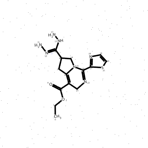 CCOC(=O)C1=C2CC(/C(=N/N)NN)CN2C(c2nccs2)=NC1